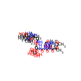 CNC(C(=O)NC(C(=O)N(C)C(/C=C(\C)C(=O)O)C(C)C)C(C)(C)C)C(C)(C)c1cccc(NC(=O)OCc2ccc(OC3OC(C(=O)O)C(O)C(O)C3O)c(CNC(=O)CCNC(=O)C(CNC(=O)CCC(C)(C)OCCC(C)(C)OC)NC(=O)C(CN)N3C(=O)C=CC3=O)c2)c1